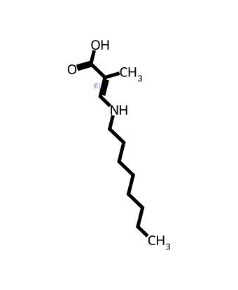 CCCCCCCCN/C=C(\C)C(=O)O